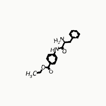 CCOC(=O)c1ccc(NC(=O)[C@@H](N)Cc2ccccc2)cc1